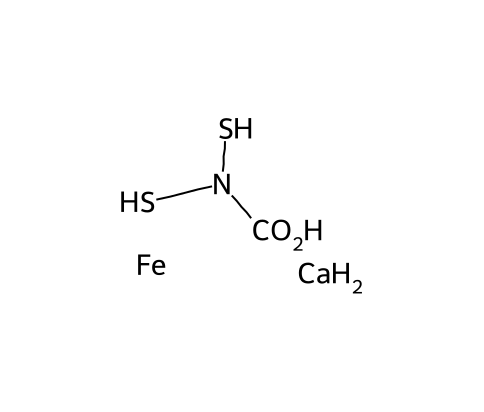 O=C(O)N(S)S.[CaH2].[Fe]